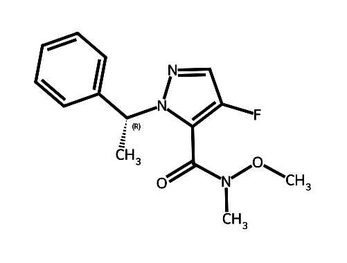 CON(C)C(=O)c1c(F)cnn1[C@H](C)c1ccccc1